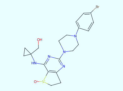 [O-][S+]1CCc2nc(N3CCN(c4ccc(Br)cc4)CC3)nc(NC3(CO)CC3)c21